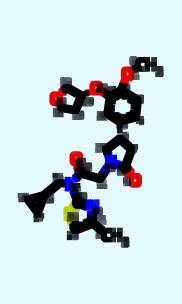 COc1ccc([C@@H]2CC(=O)N(CC(=O)N(CC3CC3)c3nc(C)cs3)C2)cc1O[C@@H]1CCOC1